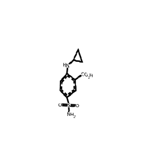 NS(=O)(=O)c1ccc(NC2CC2)c(C(=O)O)c1